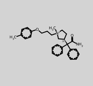 Cc1ccc(OCCC[N+]2(C)CC[C@@H](C(C(N)=O)(c3ccccc3)c3ccccc3)C2)cc1